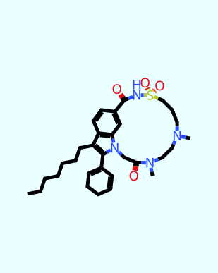 CCCCCCCc1c(C2=CCCC=C2)n2c3cc(ccc13)C(=O)NS(=O)(=O)CCCN(C)CCN(C)C(=O)C2